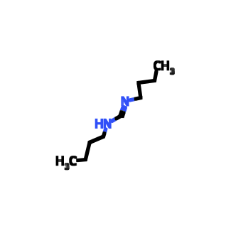 CCCCN=CNCCCC